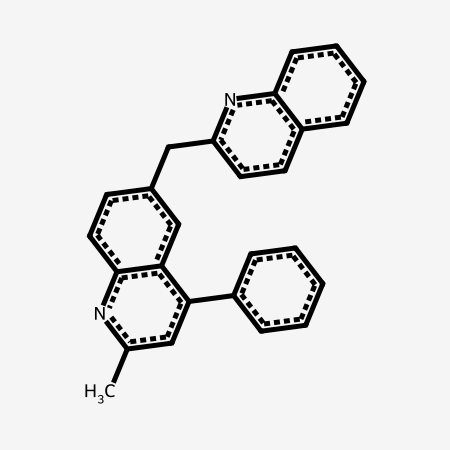 Cc1cc(-c2ccccc2)c2cc(Cc3ccc4ccccc4n3)ccc2n1